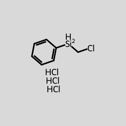 Cl.Cl.Cl.ClC[SiH2]c1ccccc1